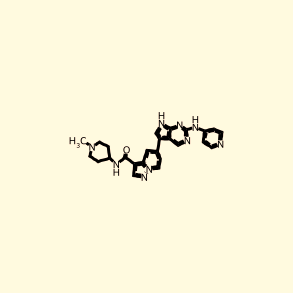 CN1CCC(NC(=O)c2cnn3ccc(-c4c[nH]c5nc(Nc6ccncc6)ncc45)cc23)CC1